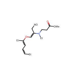 CC/C=C\C=C(/CC)O/C=C(\CN=O)N(CC)CCC(=O)OC